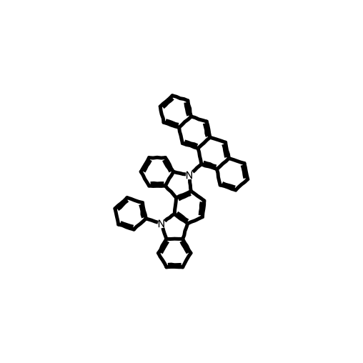 c1ccc(-n2c3ccccc3c3ccc4c(c5ccccc5n4-c4c5ccccc5cc5cc6ccccc6cc45)c32)cc1